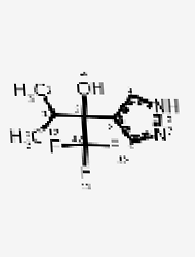 CC(C)C(O)(c1cn[nH]c1)C(F)(F)F